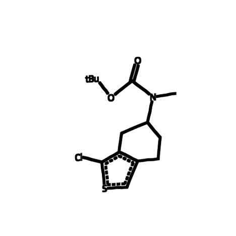 CN(C(=O)OC(C)(C)C)C1CCc2csc(Cl)c2C1